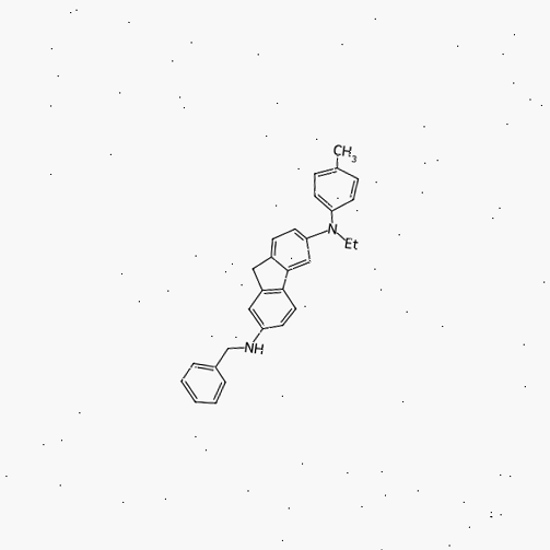 CCN(c1ccc(C)cc1)c1ccc2c(c1)-c1ccc(NCc3ccccc3)cc1C2